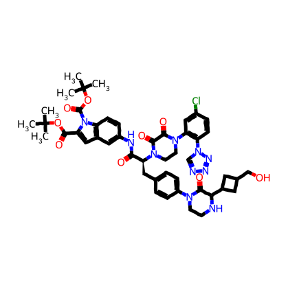 CC(C)(C)OC(=O)c1cc2cc(NC(=O)[C@H](Cc3ccc(N4CCNC(C5CC(CO)C5)C4=O)cc3)N3CCN(c4cc(Cl)ccc4-n4cnnn4)C(=O)C3=O)ccc2n1C(=O)OC(C)(C)C